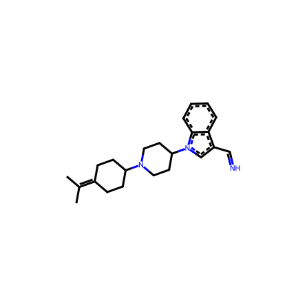 CC(C)=C1CCC(N2CCC(n3cc(C=N)c4ccccc43)CC2)CC1